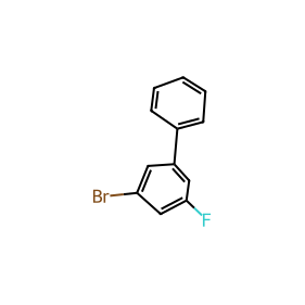 Fc1cc(Br)cc(-c2ccccc2)c1